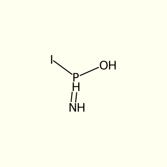 N=[PH](O)I